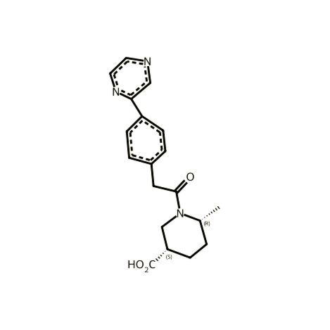 C[C@@H]1CC[C@H](C(=O)O)CN1C(=O)Cc1ccc(-c2cnccn2)cc1